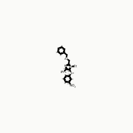 CCn1c(COCc2ccccc2)nc(C(C)C)c1Sc1cccc([N+](=O)[O-])c1